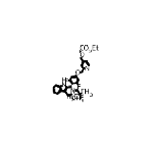 CCOC(=O)COCc1ccnc(COc2cc(F)c([C@@H]3c4[nH]c5ccccc5c4C[C@@H](C)N3CC(C)(C)F)c(F)c2)c1